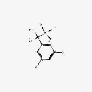 CC(O)(c1cc(Br)cc(Br)c1)C(F)(F)F